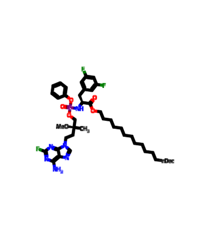 CCCCCCCCCCCCCCCCCCCCCCOC(=O)[C@H](Cc1cc(F)cc(F)c1)NP(=O)(OC[C@](C)(CCn1cnc2c(N)nc(F)nc21)OC)Oc1ccccc1